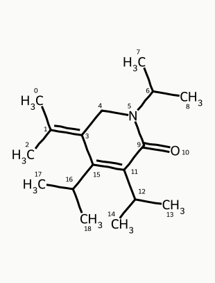 CC(C)=C1CN(C(C)C)C(=O)C(C(C)C)=C1C(C)C